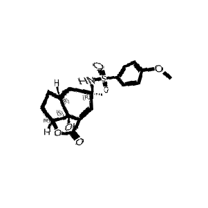 COc1ccc(S(=O)(=O)N[C@@]2(C)C=C3C(=O)O[C@@H]4CC[C@H](C2)[C@]34O)cc1